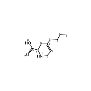 CCCCC1=CCNC(C(=O)O)C1